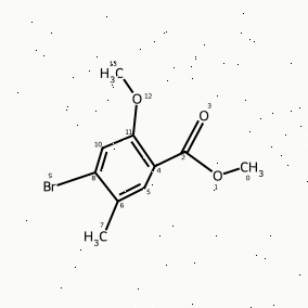 COC(=O)c1cc(C)c(Br)cc1OC